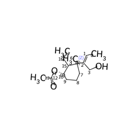 C/C=C(\CO)[C@@]1(C)CCC[C@H](OC(C)=O)C1CC